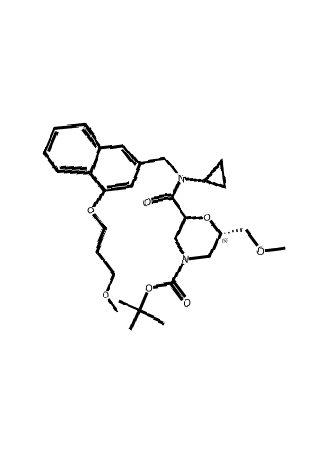 COCCCOc1cc(CN(C(=O)C2CN(C(=O)OC(C)(C)C)C[C@@H](COC)O2)C2CC2)cc2ccccc12